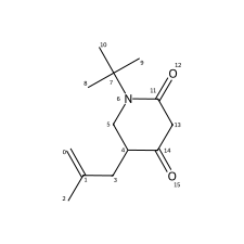 C=C(C)CC1CN(C(C)(C)C)C(=O)CC1=O